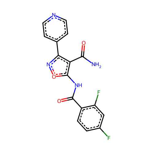 NC(=O)c1c(-c2ccncc2)noc1NC(=O)c1ccc(F)cc1F